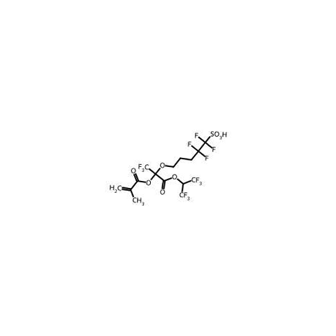 C=C(C)C(=O)OC(OCCCC(F)(F)C(F)(F)S(=O)(=O)O)(C(=O)OC(C(F)(F)F)C(F)(F)F)C(F)(F)F